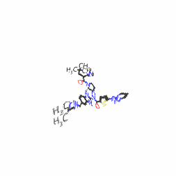 CC(C)CNCc1ccc2c(c1)nc(NC(=O)c1ccc(-n3cccn3)s1)n2C[C@H]1CCCN1C(=O)C(C#N)=CC(C)(C)C